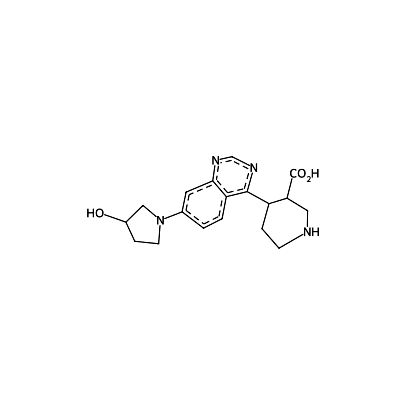 O=C(O)C1CNCCC1c1ncnc2cc(N3CCC(O)C3)ccc12